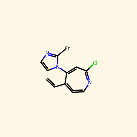 C=CC1=C=CN=C(Cl)C=C1n1ccnc1CC